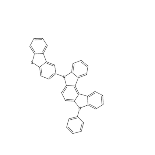 c1ccc(-n2c3ccccc3c3c4c5ccccc5n(-c5ccc6sc7ccccc7c6c5)c4ccc32)cc1